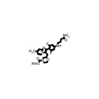 COC(=O)N1CCOC(Cc2c(-c3c(F)cc(NCCCC(N)=O)cc3F)nc3cc(C)ccn23)C1